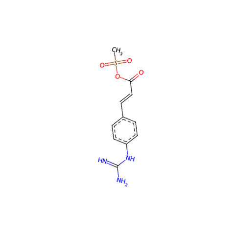 CS(=O)(=O)OC(=O)/C=C/c1ccc(NC(=N)N)cc1